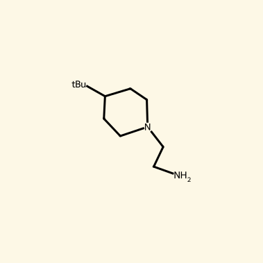 CC(C)(C)C1CCN(CCN)CC1